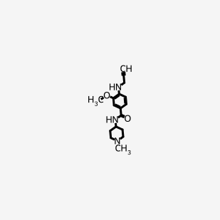 C#CCNc1ccc(C(=O)NC2CCN(C)CC2)cc1OC